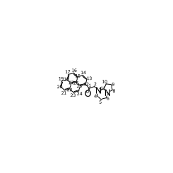 O=C(CN1CCCN2CCCC21)c1ccc2ccc3cccc4ccc1c2c34